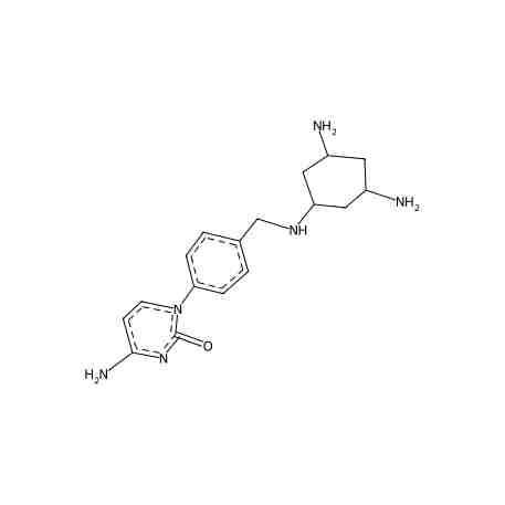 Nc1ccn(-c2ccc(CNC3CC(N)CC(N)C3)cc2)c(=O)n1